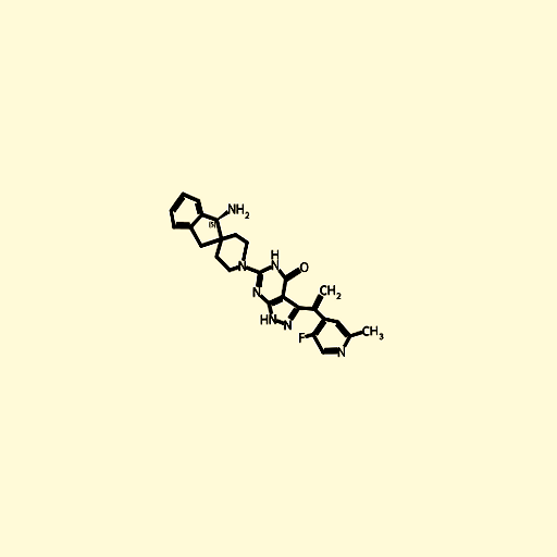 C=C(c1cc(C)ncc1F)c1n[nH]c2nc(N3CCC4(CC3)Cc3ccccc3[C@H]4N)[nH]c(=O)c12